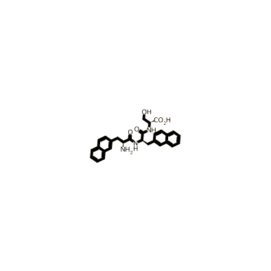 N[C@H](Cc1ccc2ccccc2c1)C(=O)N[C@H](Cc1ccc2ccccc2c1)C(=O)N[C@H](CO)C(=O)O